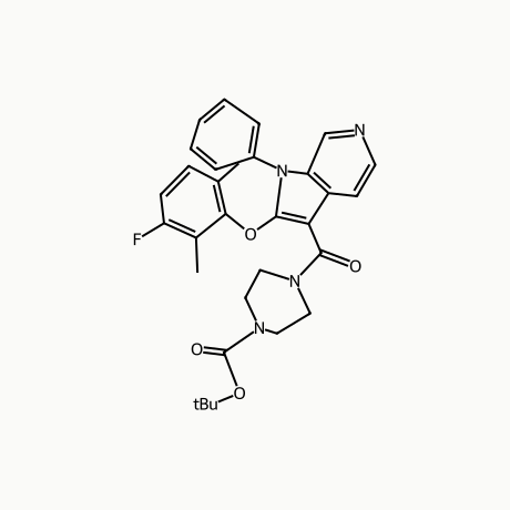 Cc1ccc(F)c(C)c1Oc1c(C(=O)N2CCN(C(=O)OC(C)(C)C)CC2)c2ccncc2n1-c1ccccc1